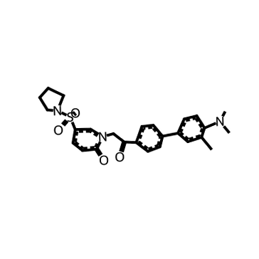 Cc1cc(-c2ccc(C(=O)Cn3cc(S(=O)(=O)N4CCCC4)ccc3=O)cc2)ccc1N(C)C